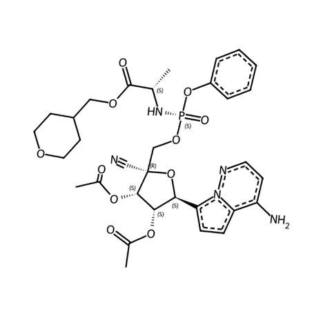 CC(=O)O[C@H]1[C@H](c2ccc3c(N)ccnn23)O[C@](C#N)(CO[P@@](=O)(N[C@@H](C)C(=O)OCC2CCOCC2)Oc2ccccc2)[C@H]1OC(C)=O